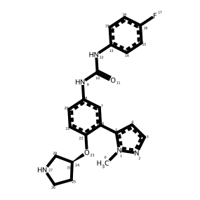 Cn1nccc1-c1cc(NC(=O)Nc2ccc(F)cc2)ccc1O[C@H]1CCNC1